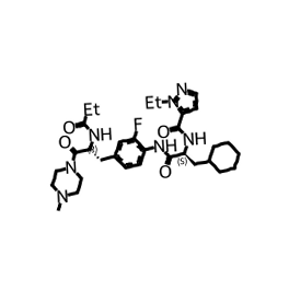 CCC(=O)N[C@H](Cc1ccc(NC(=O)[C@H](CC2CCCCC2)NC(=O)c2ccnn2CC)c(F)c1)C(=O)N1CCN(C)CC1